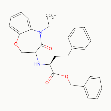 O=C(O)CN1C(=O)C(N[C@@H](CCc2ccccc2)C(=O)OCc2ccccc2)COc2ccccc21